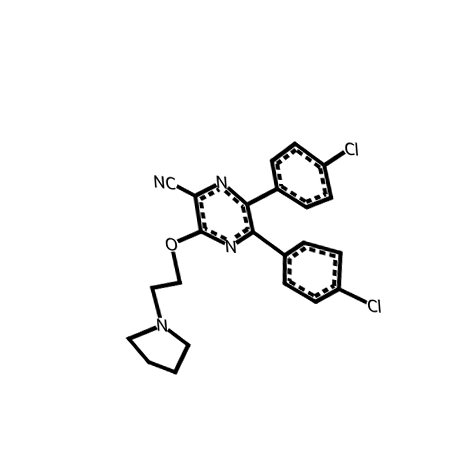 N#Cc1nc(-c2ccc(Cl)cc2)c(-c2ccc(Cl)cc2)nc1OCCN1CCCC1